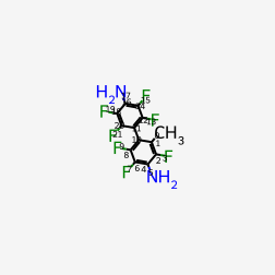 Cc1c(F)c(N)c(F)c(F)c1-c1c(F)c(F)c(N)c(F)c1F